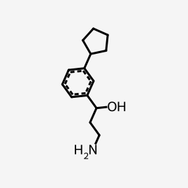 NCCC(O)c1cccc(C2CCCC2)c1